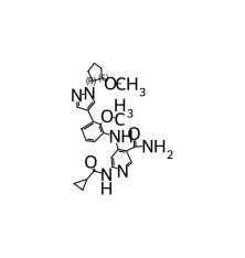 COc1c(Nc2cc(NC(=O)C3CC3)ncc2C(N)=O)cccc1-c1cnn([C@@H]2CCC[C@@H]2OC)c1